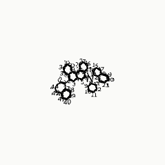 C1=C(c2cc3cc(N(c4ccccc4)c4cccc5ccccc45)c4ccccc4c3c3ccccc23)c2ccccc2CC1